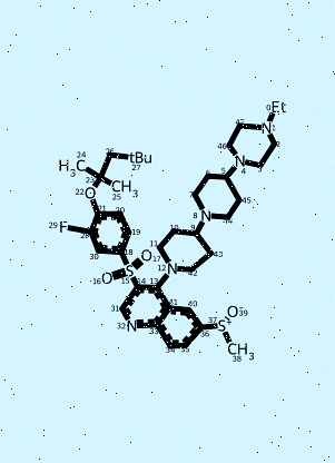 CCN1CCN(C2CCN(C3CCN(c4c(S(=O)(=O)c5ccc(OC(C)(C)CC(C)(C)C)c(F)c5)cnc5ccc([S+](C)[O-])cc45)CC3)CC2)CC1